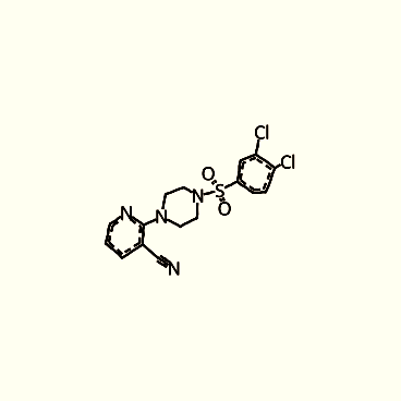 N#Cc1cccnc1N1CCN(S(=O)(=O)c2ccc(Cl)c(Cl)c2)CC1